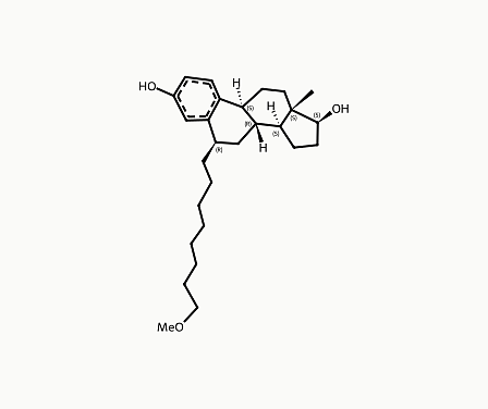 COCCCCCCCC[C@@H]1C[C@@H]2[C@H](CC[C@]3(C)[C@@H](O)CC[C@@H]23)c2ccc(O)cc21